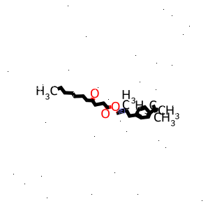 CCCCCCCC(=O)CCC(=O)O/C=C(\C)Cc1ccc(C(C)(C)C)cc1